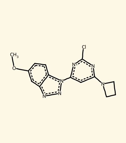 COc1ccc2c(c1)nnn2-c1cc(N2CCC2)nc(Cl)n1